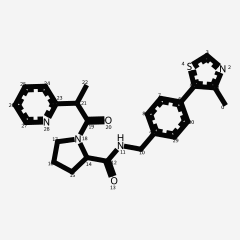 Cc1ncsc1-c1ccc(CNC(=O)C2CCCN2C(=O)C(C)c2ccccn2)cc1